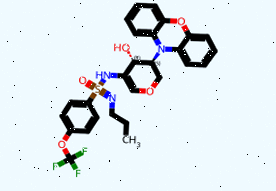 CCCN=S(=O)(NC1=COC[C@H](N2c3ccccc3Oc3ccccc32)[C@H]1O)c1ccc(OC(F)(F)F)cc1